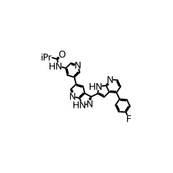 CC(C)C(=O)Nc1cncc(-c2cnc3[nH]nc(-c4cc5c(-c6ccc(F)cc6)ccnc5[nH]4)c3c2)c1